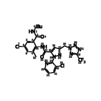 CCC(C)NC(=O)c1cc(Cl)cc(C)c1NC(=O)c1cc(Cn2nnc(C(F)(F)F)n2)nn1-c1ncccc1Cl